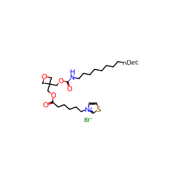 CCCCCCCCCCCCCCCCCCNC(=O)OCC1(COC(=O)CCCCC[n+]2ccsc2)COC1.[Br-]